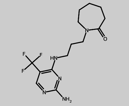 Nc1ncc(C(F)(F)F)c(NCCCN2CCCCCC2=O)n1